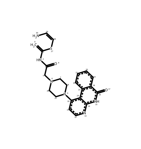 C=C(NC(=O)CN1CCN(c2ccnc3[nH]c(=O)c4ccccc4c23)CC1)S/C=C\N